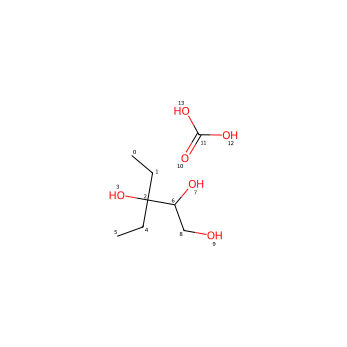 CCC(O)(CC)C(O)CO.O=C(O)O